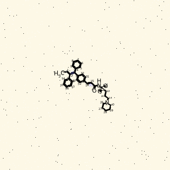 CC/C(=C(\c1ccccc1)c1ccc(/C=C/C(=O)NS(=O)(=O)CCCN2CCCCC2)cc1)c1ccccc1